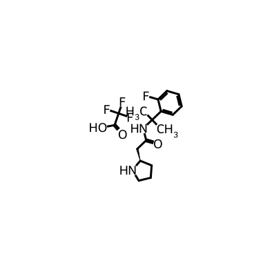 CC(C)(NC(=O)C[C@H]1CCCN1)c1ccccc1F.O=C(O)C(F)(F)F